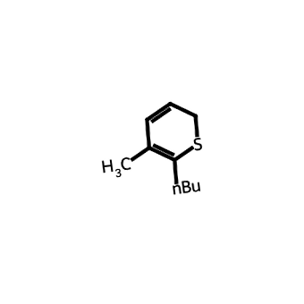 [CH2]CCCC1=C(C)C=CCS1